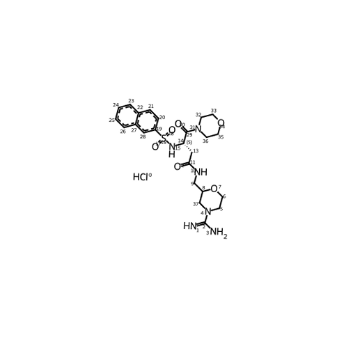 Cl.N=C(N)N1CCOC(CNC(=O)C[C@H](NS(=O)(=O)c2ccc3ccccc3c2)C(=O)N2CCOCC2)C1